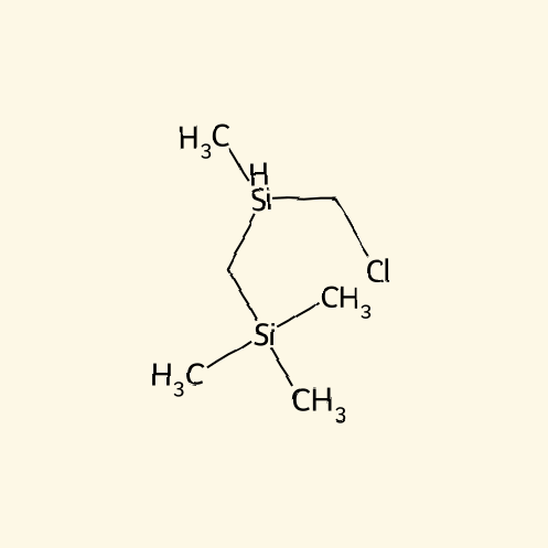 C[SiH](CCl)C[Si](C)(C)C